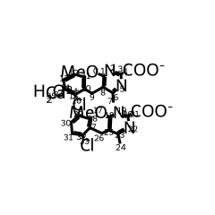 COc1nc(C(=O)[O-])nc(C)c1Cc1ccccc1Cl.COc1nc(C(=O)[O-])nc(C)c1Cc1ccccc1Cl.O.[Ca+2]